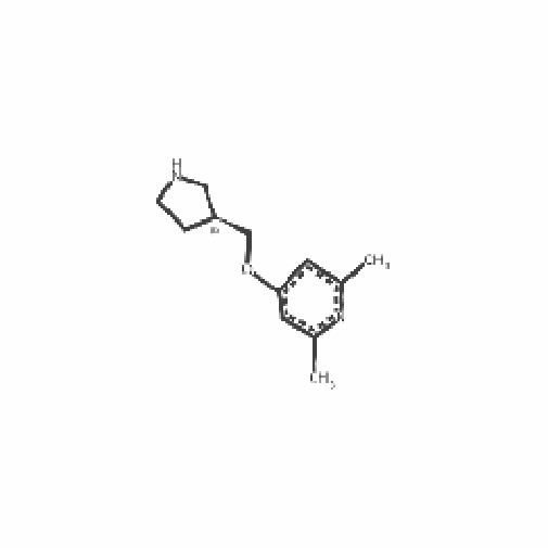 Cc1cc(OC[C@H]2CCNC2)cc(C)n1